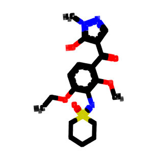 CCOc1ccc(C(=O)c2cnn(C)c2O)c(OC)c1N=S1(=O)CCCCC1